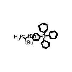 CC(C)(C)C([PH3+])C(C)(C)C.c1ccc([B-](c2ccccc2)(c2ccccc2)c2ccccc2)cc1